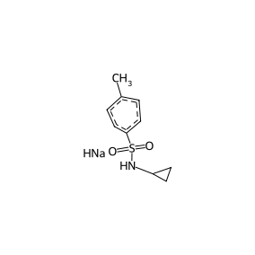 Cc1ccc(S(=O)(=O)NC2CC2)cc1.[NaH]